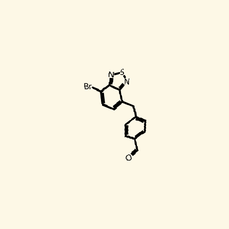 O=Cc1ccc(Cc2ccc(Br)c3nsnc23)cc1